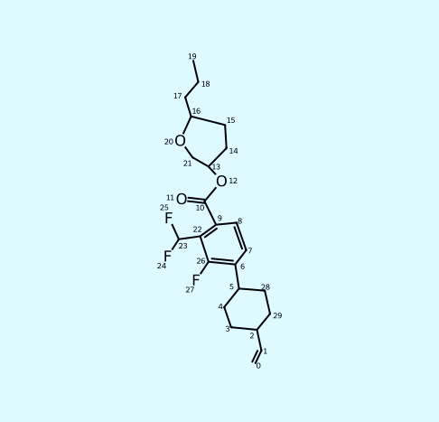 C=CC1CCC(c2ccc(C(=O)OC3CCC(CCC)OC3)c(C(F)F)c2F)CC1